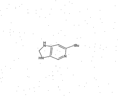 CC(C)(C)c1cc2c(cn1)NCN2